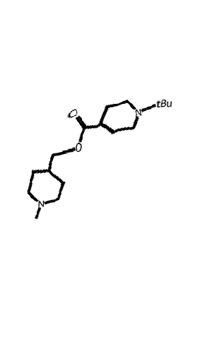 CN1CCC(COC(=O)C2CCN(C(C)(C)C)CC2)CC1